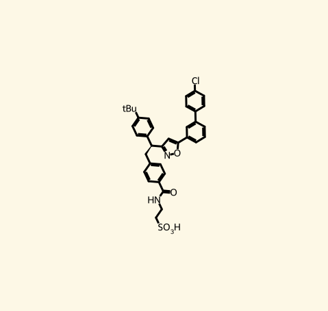 CC(C)(C)c1ccc([C@H](Cc2ccc(C(=O)NCCS(=O)(=O)O)cc2)c2cc(-c3cccc(-c4ccc(Cl)cc4)c3)on2)cc1